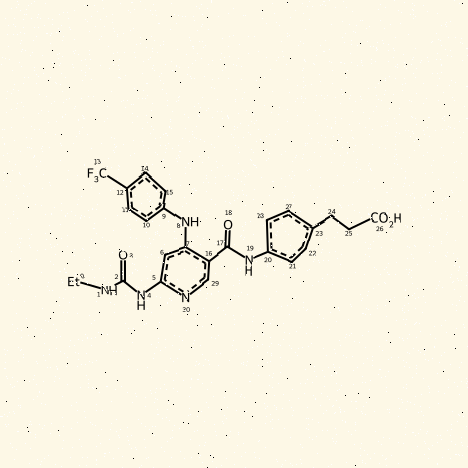 CCNC(=O)Nc1cc(Nc2ccc(C(F)(F)F)cc2)c(C(=O)Nc2ccc(CCC(=O)O)cc2)cn1